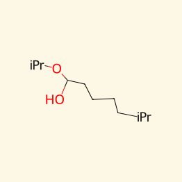 [CH2]C(C)OC(O)CCCCC(C)C